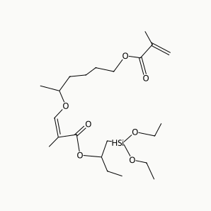 C=C(C)C(=O)OCCCCC(C)OC=C(C)C(=O)OC(CC)C[SiH](OCC)OCC